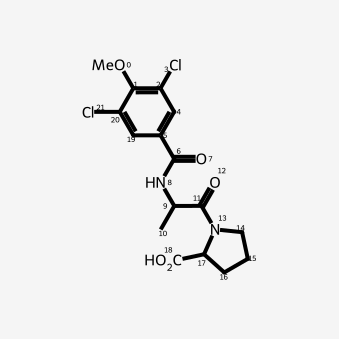 COc1c(Cl)cc(C(=O)NC(C)C(=O)N2CCCC2C(=O)O)cc1Cl